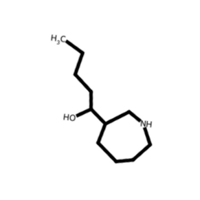 CCCCC(O)C1CCCCNC1